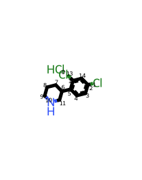 Cl.Clc1ccc(C2CCCNC2)c(Cl)c1